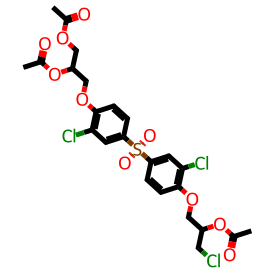 CC(=O)OCC(COc1ccc(S(=O)(=O)c2ccc(OCC(CCl)OC(C)=O)c(Cl)c2)cc1Cl)OC(C)=O